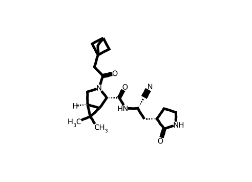 CC1(C)C2[C@@H](C(=O)N[C@H](C#N)C[C@@H]3CCNC3=O)N(C(=O)CC34CC(C3)C4)C[C@@H]21